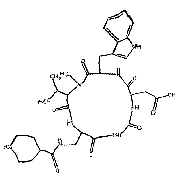 CC(C)C1C(=O)NC(CNC(=O)C2CCNCC2)C(=O)NCC(=O)NC(CC(=O)O)C(=O)NC(Cc2c[nH]c3ccccc23)C(=O)N1C